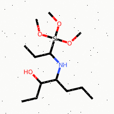 CCCC(NC(CC)[Si](OC)(OC)OC)C(O)CC